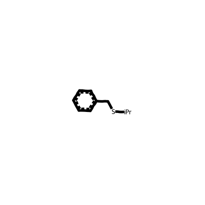 CC(C)SCc1ccccc1